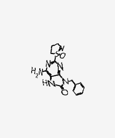 Nc1nc(S2(=O)=NCCC2)nc2c1[nH]c(=O)n2Cc1ccccc1